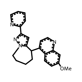 COc1ccc2c(C3CCCCn4nc(-c5ccccn5)cc43)ccnc2c1